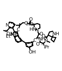 CCn1c(-c2cccnc2[C@H](C)OC)c2c3cc(ccc31)-c1cc(O)cc(c1)C[C@H](NC(=O)[C@H](C(C)C)N(C)C(=O)C1CCNC13CCC3)C(=O)N1CCC[C@@](O)(N1)C(=O)OCC(C)(C)C2